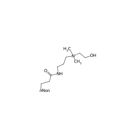 CCCCCCCCCCCC(=O)NCCC[N+](C)(C)CCO